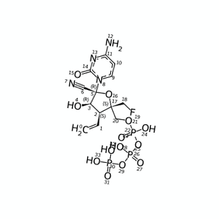 C=C[C@H]1[C@@H](O)[C@](C#N)(n2ccc(N)nc2=O)O[C@]1(CF)COP(=O)(O)OP(=O)(O)OP(=O)(O)O